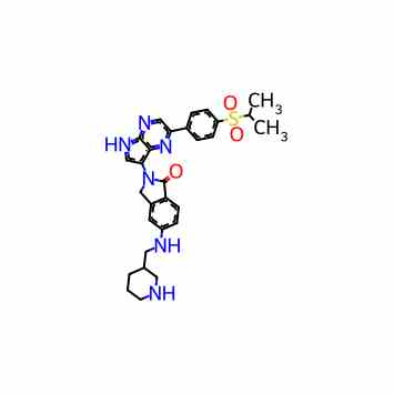 CC(C)S(=O)(=O)c1ccc(-c2cnc3[nH]cc(N4Cc5cc(NCC6CCCNC6)ccc5C4=O)c3n2)cc1